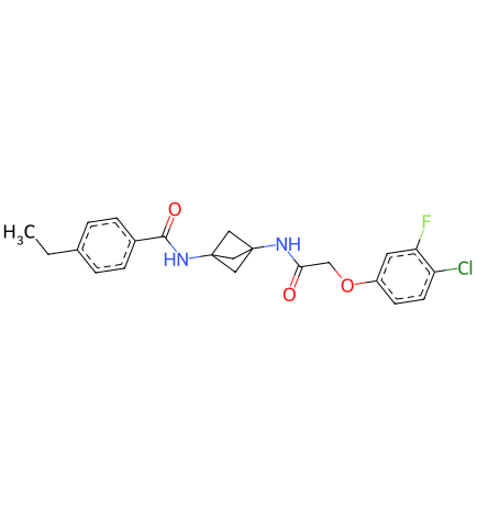 CCc1ccc(C(=O)NC23CC(NC(=O)COc4ccc(Cl)c(F)c4)(C2)C3)cc1